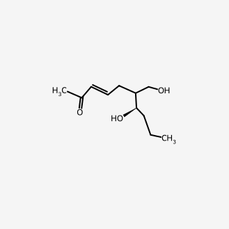 CCC[C@@H](O)C(CO)C/C=C/C(C)=O